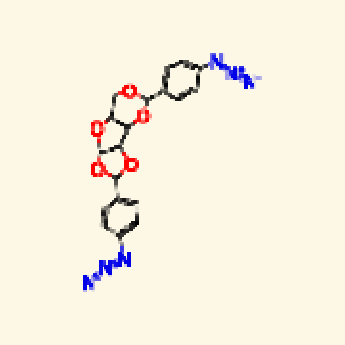 [N-]=[N+]=Nc1ccc(C2OCC3OC4OC(c5ccc(N=[N+]=[N-])cc5)OC4C3O2)cc1